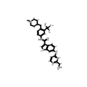 CN1CCC(Cc2ccc(NC(=O)c3csc4cc(Oc5ccnc(CO)n5)ccc34)cc2C(F)(F)F)CC1